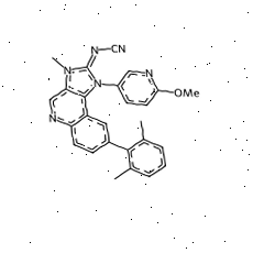 COc1ccc(-n2c(=NC#N)n(C)c3cnc4ccc(-c5c(C)cccc5C)cc4c32)cn1